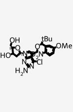 COc1ccc([N+](=O)[O-])c(C(OCc2cn([C@H]3CC(O)[C@@H](CO)O3)c3nc(N)nc(Cl)c23)C(C)(C)C)c1